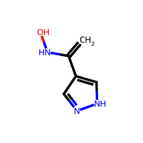 C=C(NO)c1cn[nH]c1